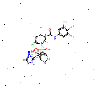 O=C(Nc1cc(F)c(F)c(F)c1)c1ccc(Cl)c(S(=O)(=O)[C@@H]2C3CCC2[C@@](O)(c2ncc[nH]2)C3)c1